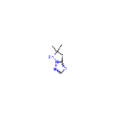 CC1(C)Cc2ncnn2N1